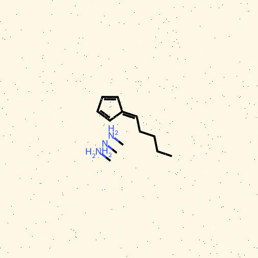 CCCCC=C1C=CC=C1.CN.CN.CN